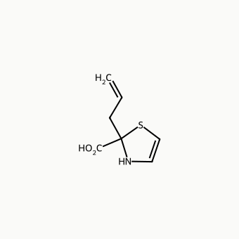 C=CCC1(C(=O)O)NC=CS1